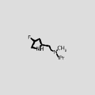 CC(C)N(C)CCC1CC(F)CN1